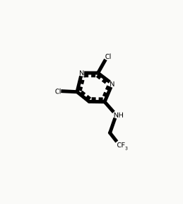 FC(F)(F)CNc1cc(Cl)nc(Cl)n1